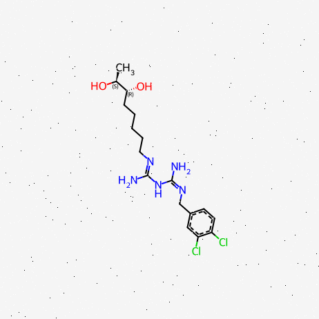 C[C@H](O)[C@H](O)CCCCCN=C(N)NC(N)=NCc1ccc(Cl)c(Cl)c1